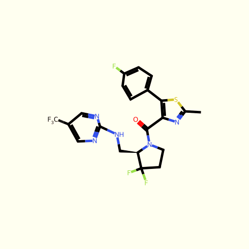 Cc1nc(C(=O)N2CCC(F)(F)[C@H]2CNc2ncc(C(F)(F)F)cn2)c(-c2ccc(F)cc2)s1